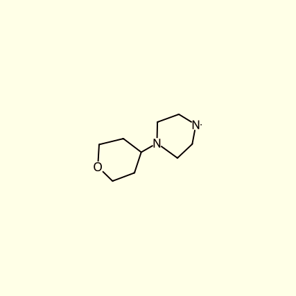 C1CN(C2CCOCC2)CC[N]1